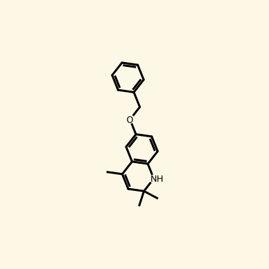 CC1=CC(C)(C)Nc2ccc(OCc3ccccc3)cc21